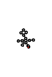 c1ccc(-c2ccc(N3c4ccc(-c5ccc6c(c5)-c5ccccc5-c5ccccc5-c5ccccc5-6)cc4B4c5ccc(-c6ccccc6)cc5N(c5ccccc5)c5cc(C67CC8CC(CC(C8)C6)C7)cc3c54)cc2)cc1